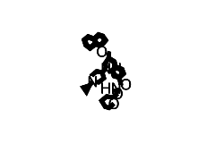 O=C(NOC1CCCCO1)c1ccc(C=C(CNC2CCN(C3CC3)CC2)COc2cccc3ccccc23)cc1